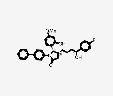 COc1ccc([C@@H]2[C@@H](CCC[C@H](O)c3ccc(F)cc3)CC(=O)N2c2ccc(-c3ccccc3)cc2)c(O)c1